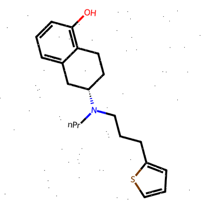 CCCN(CCCc1cccs1)[C@H]1CCc2c(O)cccc2C1